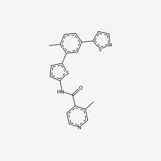 Cc1cnccc1C(=O)Nc1ccc(-c2cc(-c3ccns3)ccc2C)s1